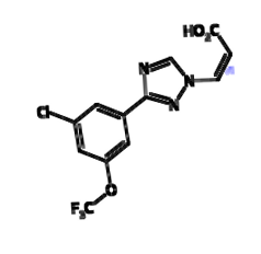 O=C(O)/C=C\n1cnc(-c2cc(Cl)cc(OC(F)(F)F)c2)n1